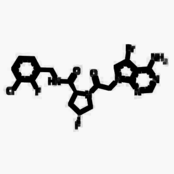 Nc1ncnc2c1c(Br)cn2CC(=O)N1C[C@H](F)C[C@H]1C(=O)NCc1cccc(Cl)c1F